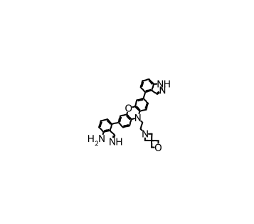 N=Cc1c(N)cccc1-c1ccc2c(c1)Oc1cc(-c3cccc4[nH]ncc34)ccc1N2CCN1CC2(COC2)C1